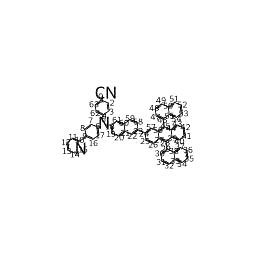 N#Cc1ccc(N(c2ccc(-c3ccccn3)cc2)c2ccc3cc(-c4ccc5c(-c6cccc7ccccc67)c6ccccc6c(-c6cccc7ccccc67)c5c4)ccc3c2)cc1